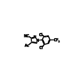 CC(=O)c1cn(-c2c(Cl)cc(C(F)(F)F)cc2Cl)nc1C#N